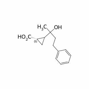 CC(O)(CCc1ccccc1)C1C[C@@H]1C(=O)O